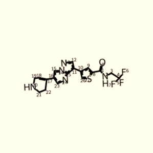 O=C(NCC(F)(F)F)c1cc(-c2cnn3cc(C4=CCNCC4)cnc23)cs1